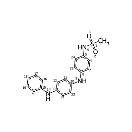 CS(=O)(=O)Nc1ccc(Nc2ccc(Nc3ccccc3)cc2)cc1